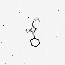 CCN1CN(C2CCCCC2)[SiH2]1